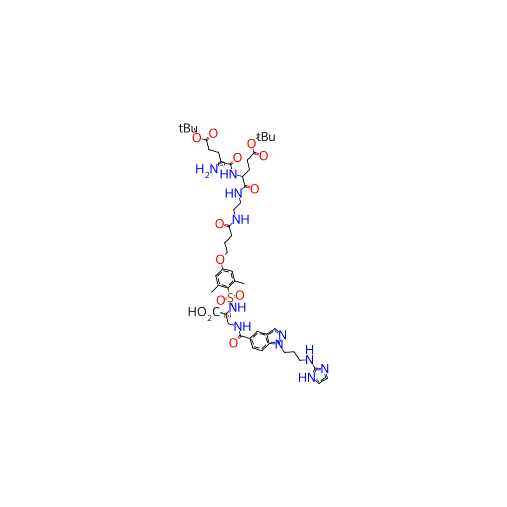 Cc1cc(OCCCC(=O)NCCNC(=O)C(CCC(=O)OC(C)(C)C)NC(=O)[C@@H](N)CCC(=O)OC(C)(C)C)cc(C)c1S(=O)(=O)N[C@@H](CNC(=O)c1ccc2c(cnn2CCCNc2ncc[nH]2)c1)C(=O)O